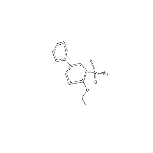 CCOc1ccc(-c2ccccc2)cc1S(N)(=O)=O